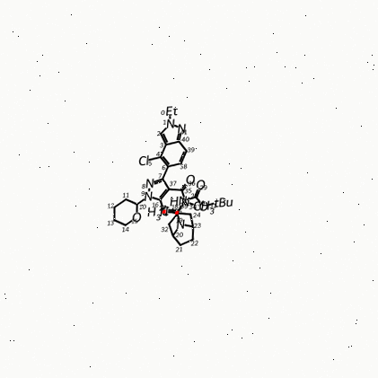 CCn1cc2c(Cl)c(-c3nn(C4CCCCO4)c4nc(N5C6CCC5CC(C)(NC(=O)OC(C)(C)C)C6)n(C)c(=O)c34)ccc2n1